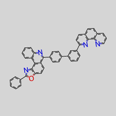 c1ccc(-c2nc3c(ccc4c(-c5ccc(-c6cccc(-c7ccc8ccc9cccnc9c8n7)c6)cc5)nc5ccccc5c43)o2)cc1